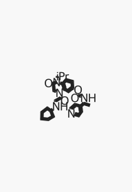 CC(NC(=O)Oc1ccc2c(c1)N(C(=O)CNC1CCCCC1)CC(=O)N2C(C)C)c1ccncc1